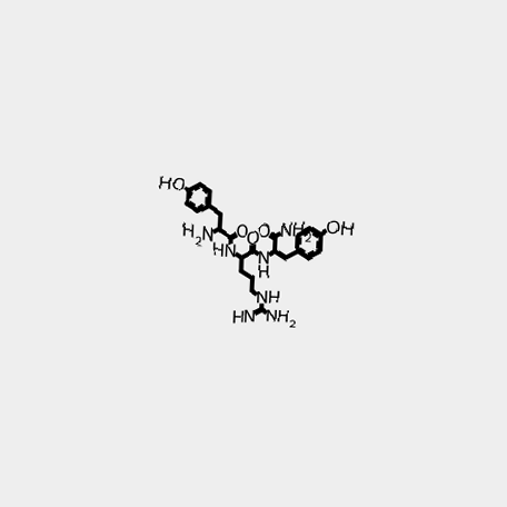 N=C(N)NCCCC(NC(=O)C(N)Cc1ccc(O)cc1)C(=O)NC(Cc1ccc(O)cc1)C(N)=O